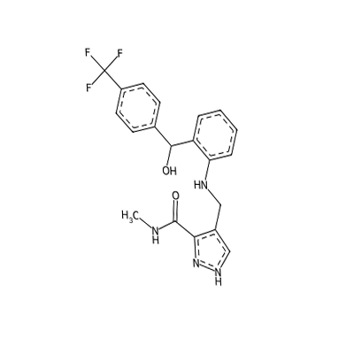 CNC(=O)c1n[nH]cc1CNc1ccccc1C(O)c1ccc(C(F)(F)F)cc1